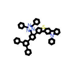 c1ccc(-c2cc(-c3ccccc3)cc(-c3ccc(-c4ccc5sc6cc7c8ccccc8n(-c8ccccc8)c7cc6c5c4)c(-c4nc(-c5ccccc5)nc(-c5ccccc5)n4)c3)c2)cc1